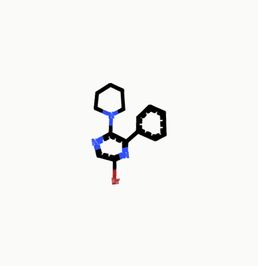 Brc1cnc(N2CCCCC2)c(-c2ccccc2)n1